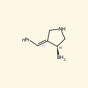 B[C@@H]1CNC/C1=C\CCC